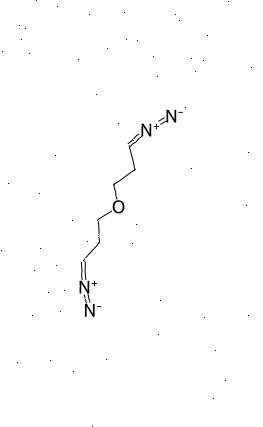 [N-]=[N+]=CCCOCCC=[N+]=[N-]